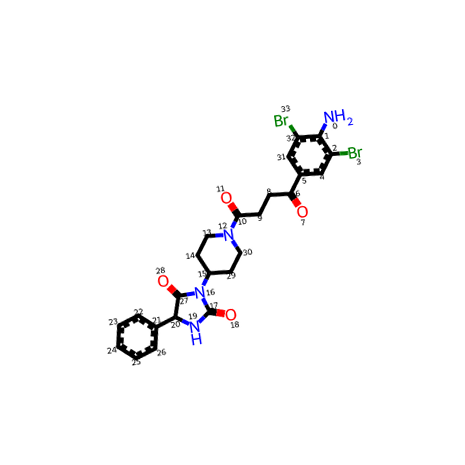 Nc1c(Br)cc(C(=O)CCC(=O)N2CCC(N3C(=O)NC(c4ccccc4)C3=O)CC2)cc1Br